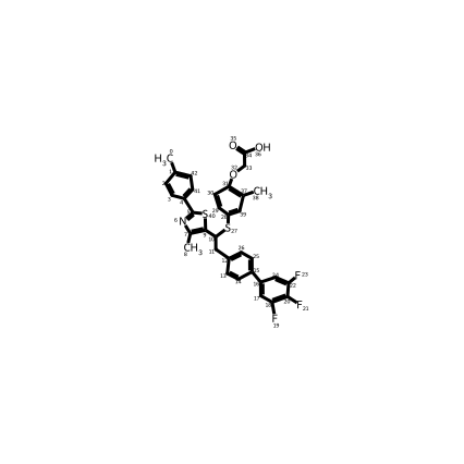 Cc1ccc(-c2nc(C)c(C(Cc3ccc(-c4cc(F)c(F)c(F)c4)cc3)Sc3ccc(OCC(=O)O)c(C)c3)s2)cc1